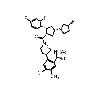 CC[C@H](NC(C)=O)c1cc(C)c(Cl)cc1C1CCN(C(=O)[C@@H]2C[C@@H](N3CC[C@H](F)C3)C[C@H]2C2C=CC(F)=CC2F)CC1